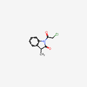 CC1C(=O)N(C(=O)CCl)c2ccccc21